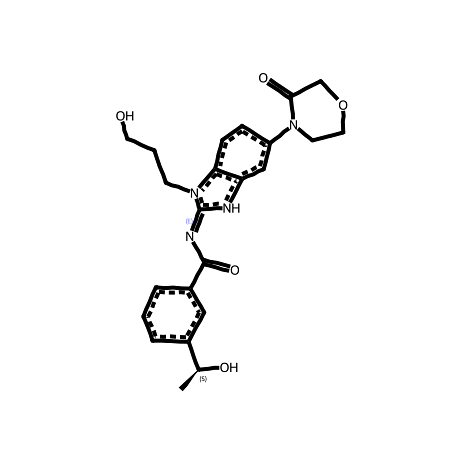 C[C@H](O)c1cccc(C(=O)/N=c2\[nH]c3cc(N4CCOCC4=O)ccc3n2CCCO)c1